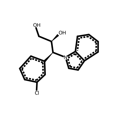 OC[C@@H](O)[C@H](c1cccc(Cl)c1)n1ccc2ccccc21